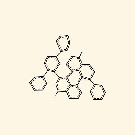 Ic1ccc2c3c(-c4cc(-c5ccccc5)ccc4-c4ccccc4)cc(I)c4cccc(c5c(-c6ccccc6)ccc1c25)c43